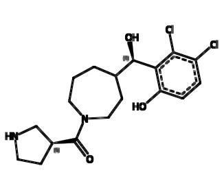 O=C([C@H]1CCNC1)N1CCCC([C@@H](O)c2c(O)ccc(Cl)c2Cl)CC1